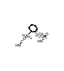 C.C.C.C.Cc1ccccc1.N=C=O.N=C=O